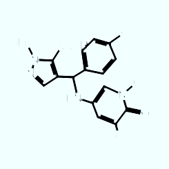 CC(C)n1ncc(C(Nc2cc(Cl)c(=O)n(C)c2)c2ccc(Cl)cc2)c1C(=O)O